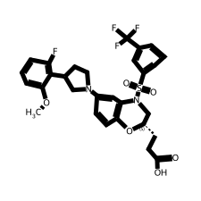 COc1cccc(F)c1C1CCN(c2ccc3c(c2)N(S(=O)(=O)c2cccc(C(F)(F)F)c2)C[C@H](CCC(=O)O)O3)C1